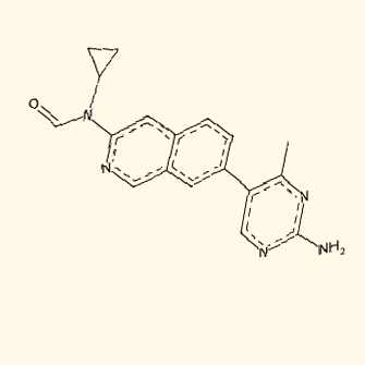 Cc1nc(N)ncc1-c1ccc2cc(N(C=O)C3CC3)ncc2c1